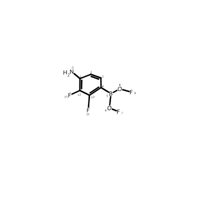 Nc1ccc(B(OF)OF)c(F)c1F